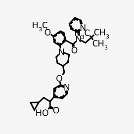 COc1ccc(C(=O)N(CC(C)(C)C)c2ccccn2)c(N2CCC(COc3cc(C(CC4CC4)C(=O)O)ccn3)CC2)c1